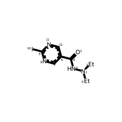 CCN(CC)NC(=O)c1cnc(I)nc1